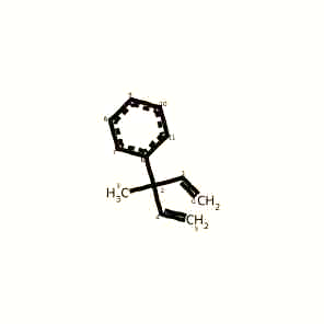 C=CC(C)(C=C)c1ccccc1